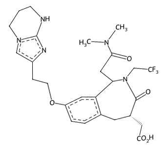 CN(C)C(=O)CC1c2cc(OCCc3cn4c(n3)NCCC4)ccc2C[C@@H](CC(=O)O)C(=O)N1CC(F)(F)F